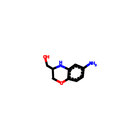 Nc1ccc2c(c1)NC(CO)[CH]O2